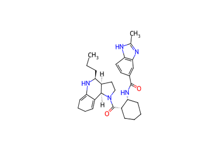 CCC[C@@H]1NC2=CCCC=C2[C@H]2[C@@H]1CCN2C(=O)[C@H]1CCCC[C@H]1NC(=O)c1ccc2[nH]c(C)nc2c1